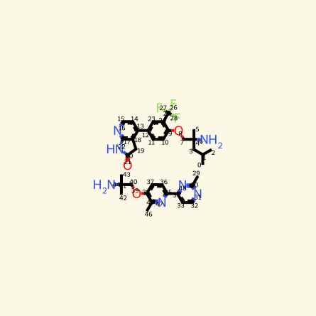 CC(C)CC(C)(N)COc1ccc(-c2ccnc3c2CC(=O)N3)cc1C(F)(F)F.Cc1nccc(-c2ccc(OCC(C)(C)N)c(C)n2)n1